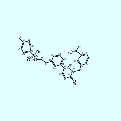 CC(=O)c1cccc(Cn2nc(-c3cccc(CCOS(=O)(=O)c4ccc(C)cc4)c3)ccc2=O)c1